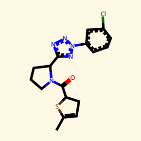 CC1=CCC(C(=O)N2CCCC2c2nnn(-c3cccc(Cl)c3)n2)S1